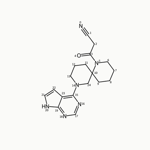 N#CCC(=O)N1CCCCC12CCCN(c1ncnc3[nH]ccc13)C2